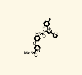 CNC(=O)c1cc(Oc2ccc(NC(=O)Nc3cc(-c4ccco4)nn3-c3cccc(F)c3)cc2)ccn1